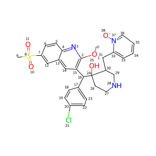 COc1nc2ccc(S(C)(=O)=O)cc2cc1C(c1ccc(Cl)cc1)C1(O)CCNCC1Cc1cccc[n+]1[O-]